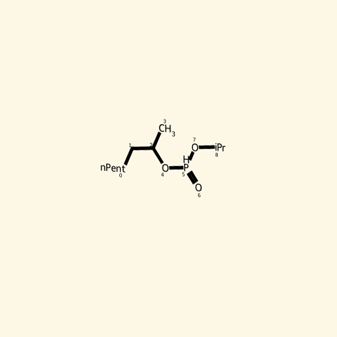 CCCCCCC(C)O[PH](=O)OC(C)C